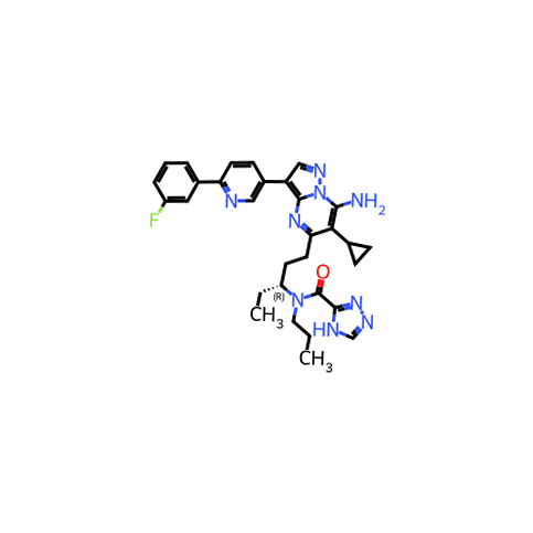 CCCN(C(=O)c1nnc[nH]1)[C@H](CC)CCc1nc2c(-c3ccc(-c4cccc(F)c4)nc3)cnn2c(N)c1C1CC1